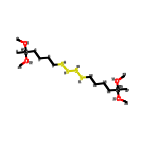 CO[Si](C)(CCCCSSSSCCCC[Si](C)(OC)OC)OC